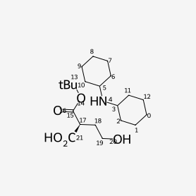 C1CCC(NC2CCCCC2)CC1.CC(C)(C)OC(=O)[C@@H](CCO)C(=O)O